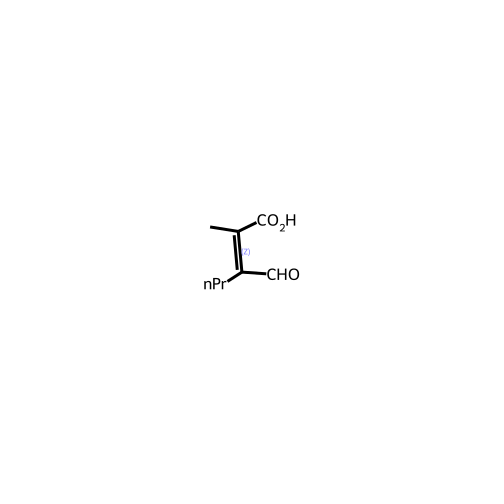 CCC/C(C=O)=C(\C)C(=O)O